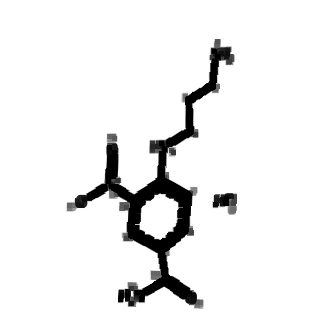 Cl.NCCCNc1ccc(C(N)=O)cc1[N+](=O)[O-]